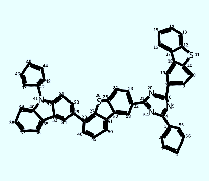 c1ccc(-c2nc(-c3ccc4sc5ccccc5c4c3)nc(-c3ccc4sc5c(-c6ccc7c(c6)c6ccccc6n7-c6ccccc6)cccc5c4c3)n2)cc1